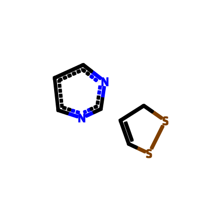 C1=CSSC1.c1cncnc1